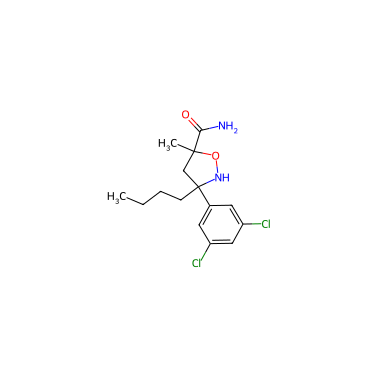 CCCCC1(c2cc(Cl)cc(Cl)c2)CC(C)(C(N)=O)ON1